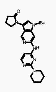 CCC(C)n1cc(N2CCCC2=O)c2cnc(Nc3ccnc(N4CCCCC4)n3)cc21